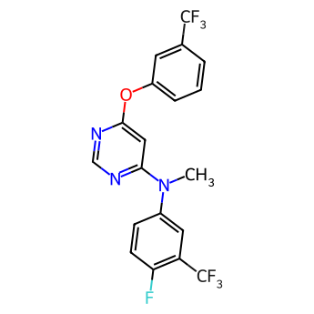 CN(c1ccc(F)c(C(F)(F)F)c1)c1cc(Oc2cccc(C(F)(F)F)c2)ncn1